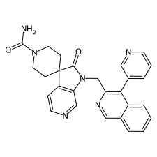 NC(=O)N1CCC2(CC1)C(=O)N(Cc1ncc3ccccc3c1-c1cccnc1)c1cnccc12